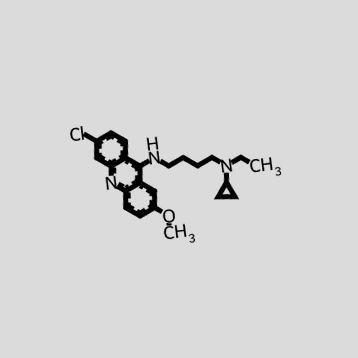 CCN(CCCCNc1c2ccc(Cl)cc2nc2ccc(OC)cc12)C1CC1